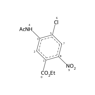 CCOC(=O)c1cc(NC(C)=O)c(Cl)cc1[N+](=O)[O-]